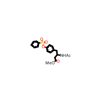 COC(=O)CC(Cc1ccc(OS(=O)(=O)c2ccccc2)cc1)NC(C)=O